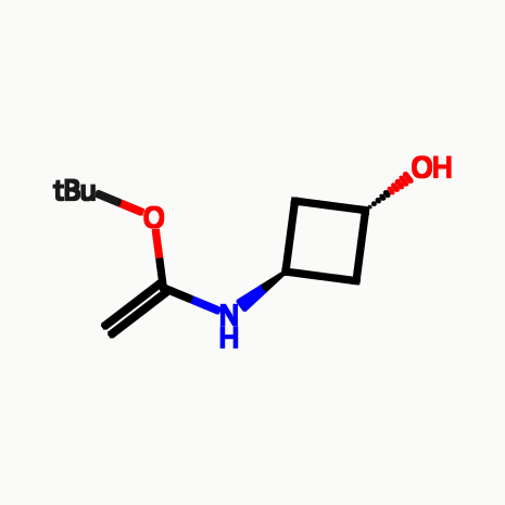 C=C(N[C@H]1C[C@H](O)C1)OC(C)(C)C